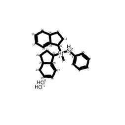 Cl.Cl.[CH3][Hf]([SiH2]c1ccccc1)([CH]1CCC2CC=CC=C21)[CH]1CCC2CC=CC=C21